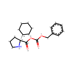 O=C(OCc1ccccc1)OC(=O)[C@]1(C2CCCCC2)CCCN1